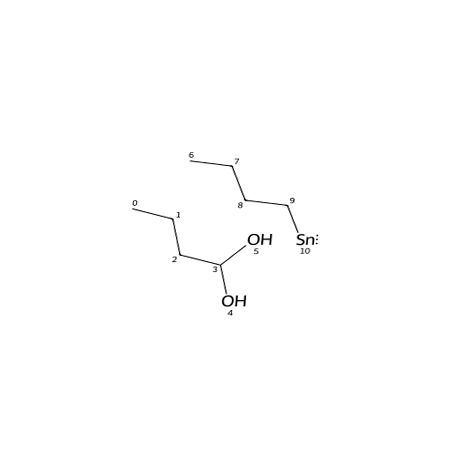 CCCC(O)O.CCC[CH2][Sn]